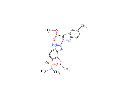 CCOc1c(S(=O)(=O)N(C)C)ccc2[nH]c(-c3nc4ccc(C)cc4cc3C(=O)OC)nc12